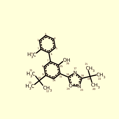 Cc1ccccc1-c1cc(C(C)(C)C)cc(-c2nc(C(C)(C)C)no2)c1O